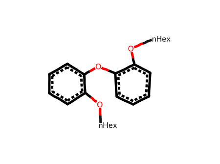 CCCCCCOc1ccccc1Oc1ccccc1OCCCCCC